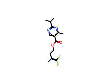 CC(CCOC(=O)c1cnc(C(C)C)nc1C)=C(F)F